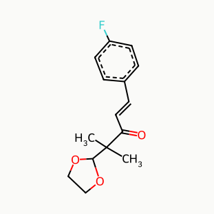 CC(C)(C(=O)C=Cc1ccc(F)cc1)C1OCCO1